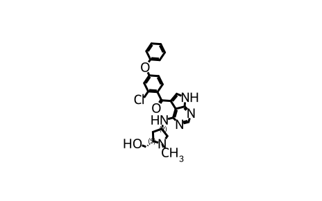 CN1C[C@H](Nc2ncnc3[nH]cc(C(=O)c4ccc(Oc5ccccc5)cc4Cl)c23)C[C@H]1CO